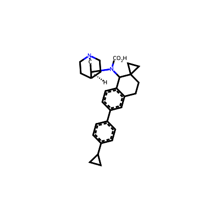 O=C(O)N(C1c2ccc(-c3ccc(C4CC4)cc3)cc2CCC12CC2)[C@@H]1CN2CCC1CC2